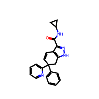 O=C(NC1CC1)c1n[nH]c2c1C=CC(c1ccccc1)(c1ccccn1)C2